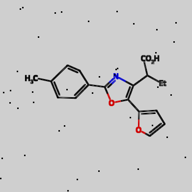 CCC(C(=O)O)c1nc(-c2ccc(C)cc2)oc1-c1ccco1